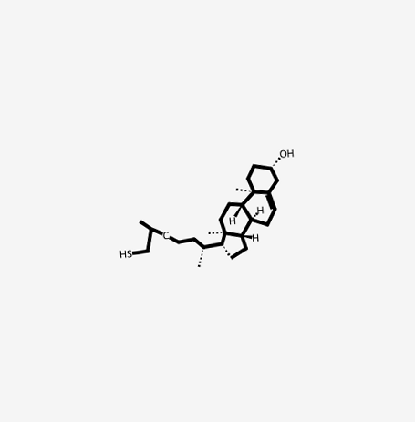 CC(CS)CCC[C@@H](C)[C@H]1CC[C@H]2[C@@H]3CC=C4C[C@@H](O)CC[C@]4(C)[C@H]3CC[C@]12C